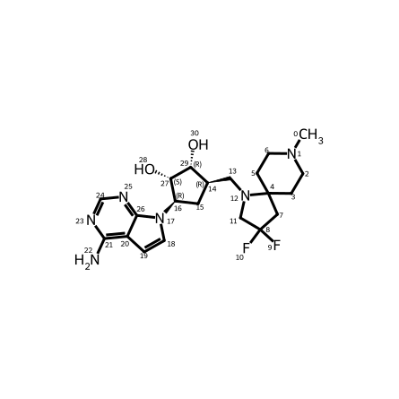 CN1CCC2(CC1)CC(F)(F)CN2C[C@H]1C[C@@H](n2ccc3c(N)ncnc32)[C@H](O)[C@@H]1O